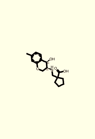 Cc1ccc2c(c1)OC[C@H](NCC1(C(=O)O)CCCC1)[C@@H]2O